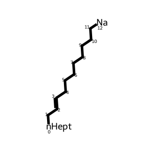 CCCCCCCCC=CCCCCCCC[CH2][Na]